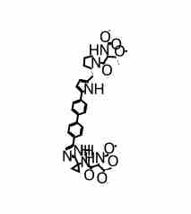 COC(=O)N[C@H](C(=O)NC1(c2ncc(-c3ccc(-c4ccc(-c5ccc(C[C@@H]6CCCN6C(=O)[C@@H](NC(=O)OC)[C@@H](C)OC)[nH]5)cc4)cc3)[nH]2)CC1)[C@@H](C)OC